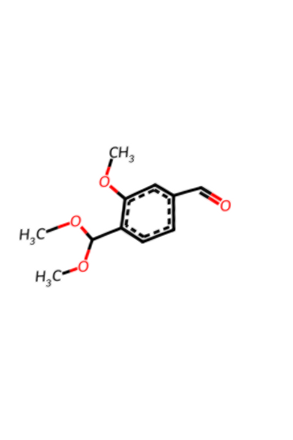 COc1cc(C=O)ccc1C(OC)OC